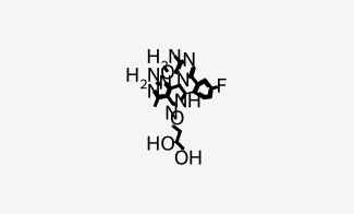 COc1nc(-c2cc(F)ccc2[C@@H]2Cc3nc(N)nc(C)c3/C(=N/OCC[C@@H](O)CO)N2)cnc1N